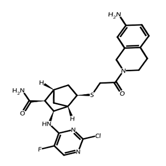 NC(=O)[C@H]1[C@H]2C[C@@H]([C@H]1Nc1nc(Cl)ncc1F)[C@H](SCC(=O)N1CCc3ccc(N)cc3C1)C2